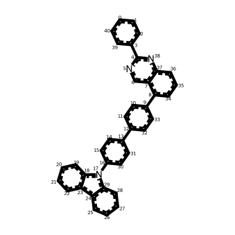 c1ccc(-c2ncc3c(-c4ccc(-c5ccc(-n6c7ccccc7c7ccccc76)cc5)cc4)cccc3n2)cc1